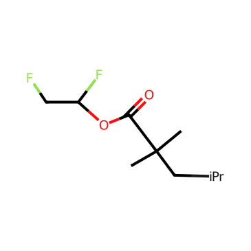 CC(C)CC(C)(C)C(=O)OC(F)CF